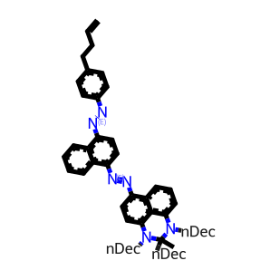 C=CCCc1ccc(/N=N/c2ccc(/N=N/c3ccc4c5c(cccc35)N(CCCCCCCCCC)C(C)(CCCCCCCCCC)N4CCCCCCCCCC)c3ccccc23)cc1